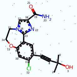 CC(C)(O)C#Cc1cc2c(cc1Cl)OCCn1cc(C(N)=O)nc1-2